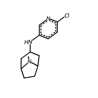 CN1C2CCC1CC(Nc1ccc(Cl)nc1)C2